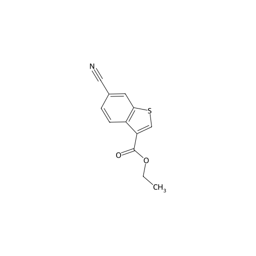 CCOC(=O)c1csc2cc(C#N)ccc12